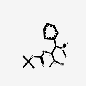 C[C@H](O)[C@@H](NC(=O)OC(C)(C)C)C(c1ccccc1)[N+](=O)[O-]